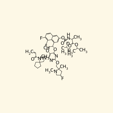 C#Cc1c(F)ccc2cc(OP(=O)(N[C@@H](C)C(=O)OC(C)C)OC(C)C)cc(C3COc4c(NCC5(N(C)C(=O)C=C)CCCC5)nc(OC[C@]5(C)C[C@@H](F)CN5C)nc4O3)c12